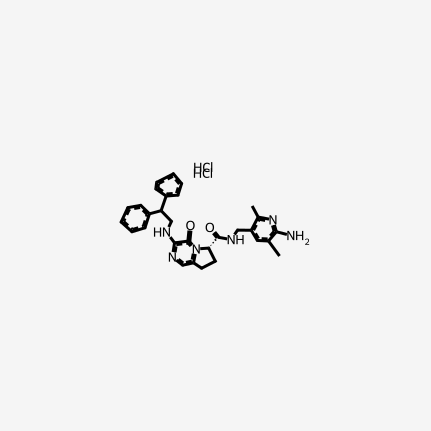 Cc1cc(CNC(=O)[C@@H]2CCc3cnc(NCC(c4ccccc4)c4ccccc4)c(=O)n32)c(C)nc1N.Cl.Cl